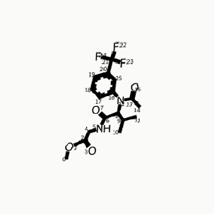 COC(=O)CNC(=O)C(C(C)C)N(C(C)=O)c1cccc(C(F)(F)F)c1